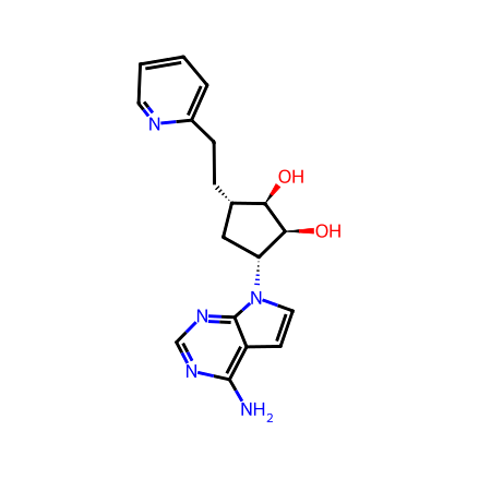 Nc1ncnc2c1ccn2[C@@H]1C[C@H](CCc2ccccn2)[C@@H](O)[C@H]1O